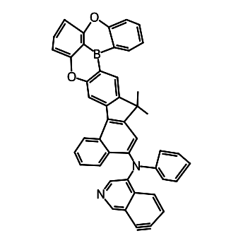 CC1(C)c2cc3c(cc2-c2c1cc(N(c1ccccc1)c1cncc4c#cccc14)c1ccccc21)Oc1cccc2c1B3c1ccccc1O2